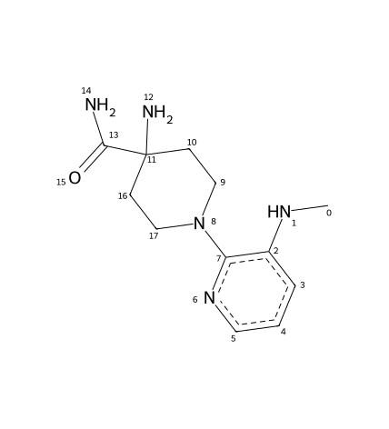 CNc1cccnc1N1CCC(N)(C(N)=O)CC1